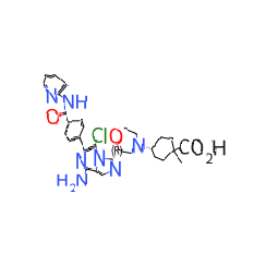 C[C@]1(C(=O)O)CC[C@H](N2CCO[C@@H](c3ncc4c(N)nc(-c5ccc(C(=O)Nc6ccccn6)cc5)c(Cl)n34)C2)CC1